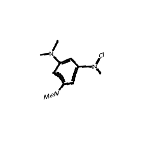 CNc1cc(N(C)C)cc(N(C)Cl)c1